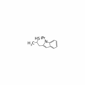 CC(S)Cc1cc2ccccc2n1C(C)C